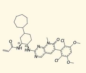 C=CC(=O)N[C@H]1CC(C2CCCCCC2)CC[C@H]1Nc1ncc2cc(-c3c(Cl)c(OC)cc(OC)c3Cl)c(=O)n(C)c2n1